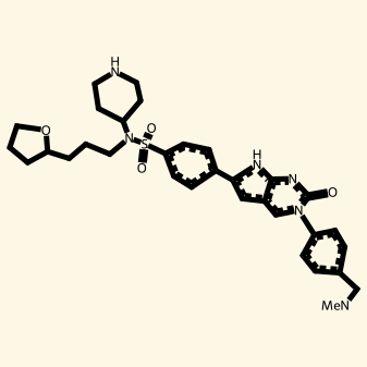 CNCc1ccc(-n2cc3cc(-c4ccc(S(=O)(=O)N(CCCC5CCCO5)C5CCNCC5)cc4)[nH]c3nc2=O)cc1